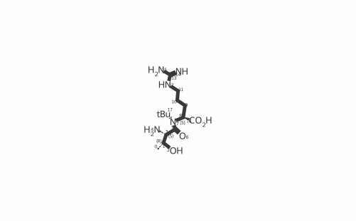 C[C@@H](O)[C@H](N)C(=O)N([C@@H](CCCNC(=N)N)C(=O)O)C(C)(C)C